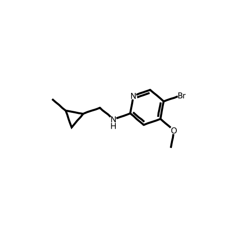 COc1cc(NCC2CC2C)ncc1Br